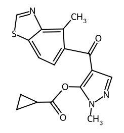 Cc1c(C(=O)c2cnn(C)c2OC(=O)C2CC2)ccc2scnc12